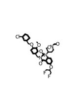 COc1cc(Cn2c(=O)c3cc(OC(CF)CF)ccc3n(C3CCN(C=O)CC3)c2=O)ccc1OCc1cccc(Cl)c1